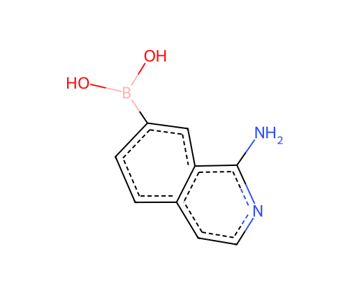 Nc1nccc2ccc(B(O)O)cc12